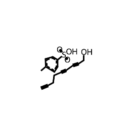 C#CCCC#CC#CCO.Cc1ccc(S(=O)(=O)O)cc1